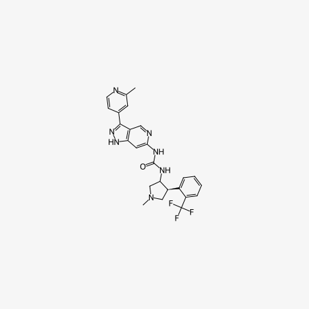 Cc1cc(-c2n[nH]c3cc(NC(=O)NC4CN(C)C[C@@H]4c4ccccc4C(F)(F)F)ncc23)ccn1